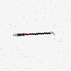 CCCCCCCCCCCCCCCCCCCCCCCCCCOOOOOOOO